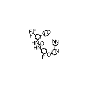 Cn1cc(-c2cc(Oc3ccc(NC(=O)Nc4cc(N5CCOCC5)cc(C(F)(F)F)c4)cc3F)ccn2)cn1